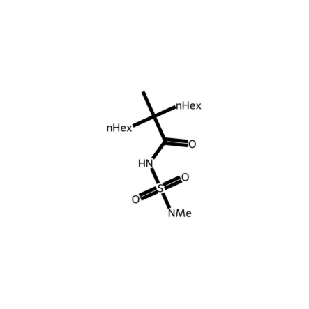 CCCCCCC(C)(CCCCCC)C(=O)NS(=O)(=O)NC